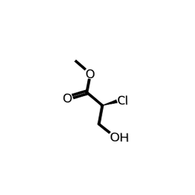 COC(=O)[C@@H](Cl)CO